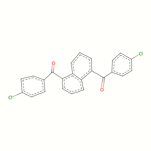 O=C(c1ccc(Cl)cc1)c1cccc2c(C(=O)c3ccc(Cl)cc3)cccc12